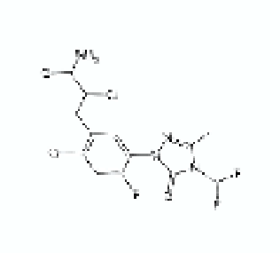 Cc1nn(-c2cc(CC(Cl)C(N)=O)c(Cl)cc2F)c(=O)n1C(F)F